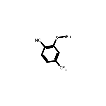 CCC(C)Sc1cc(C(F)(F)F)ccc1C#N